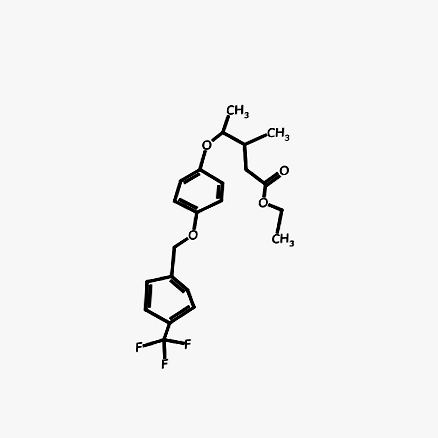 CCOC(=O)CC(C)C(C)Oc1ccc(OCc2ccc(C(F)(F)F)cc2)cc1